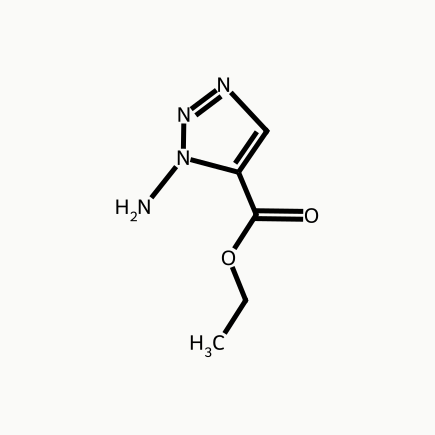 CCOC(=O)c1cnnn1N